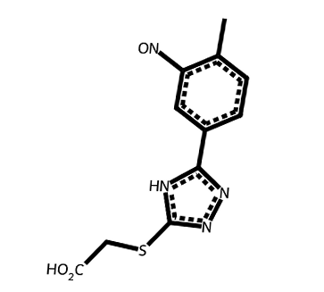 Cc1ccc(-c2nnc(SCC(=O)O)[nH]2)cc1N=O